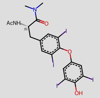 CC(=O)N[C@@H](Cc1cc(I)c(Oc2cc(I)c(O)c(I)c2)c(I)c1)C(=O)N(C)C